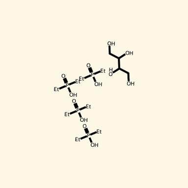 CCP(=O)(O)CC.CCP(=O)(O)CC.CCP(=O)(O)CC.CCP(=O)(O)CC.OCC(O)C(O)CO